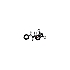 O=C1c2ccc3cc2C(=O)C1N3NC(=S)Nc1ccccc1